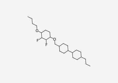 CCCCOC1CCC(OCC2CCC(C3CCC(CCC)CC3)CC2)C(F)C1F